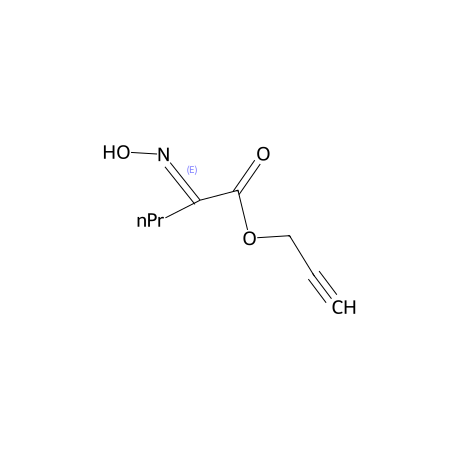 C#CCOC(=O)/C(CCC)=N/O